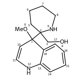 COC1(C2(CO)CCCCN2)C=CNc2ccccc21